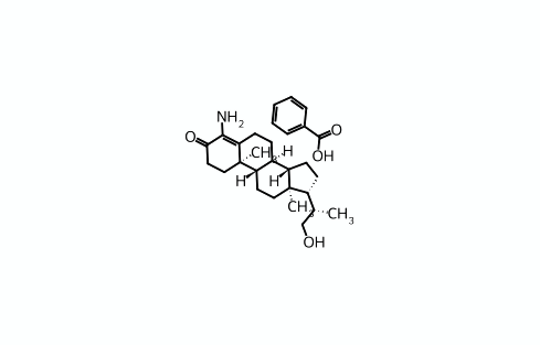 C[C@H](CO)[C@H]1CC[C@H]2[C@@H]3CCC4=C(N)C(=O)CC[C@]4(C)[C@H]3CC[C@]12C.O=C(O)c1ccccc1